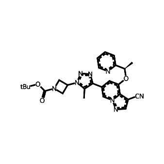 Cc1c(-c2cc(O[C@H](C)c3ccccn3)c3c(C#N)cnn3c2)nnn1C1CN(C(=O)OC(C)(C)C)C1